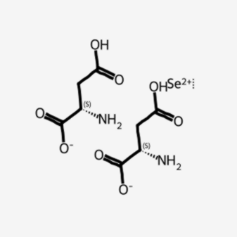 N[C@@H](CC(=O)O)C(=O)[O-].N[C@@H](CC(=O)O)C(=O)[O-].[Se+2]